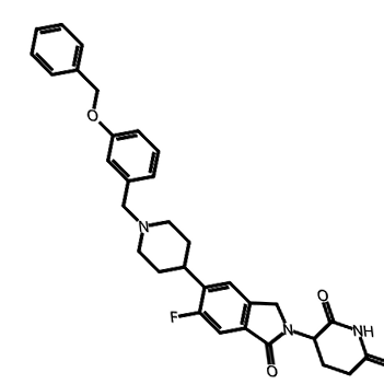 O=C1CCC(N2Cc3cc(C4CCN(Cc5cccc(OCc6ccccc6)c5)CC4)c(F)cc3C2=O)C(=O)N1